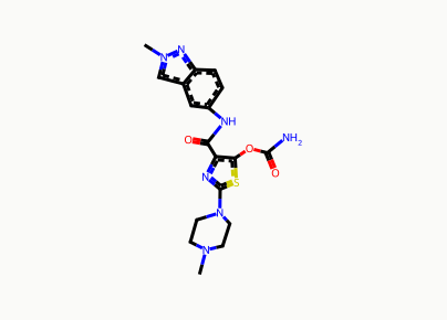 CN1CCN(c2nc(C(=O)Nc3ccc4nn(C)cc4c3)c(OC(N)=O)s2)CC1